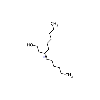 CCCCC/C=C(/CCO)CCCCCC